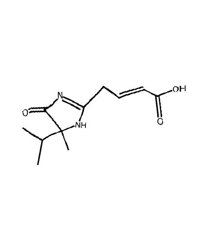 CC(C)C1(C)NC(CC=CC(=O)O)=NC1=O